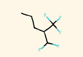 CCCC([C](F)F)C(F)(F)F